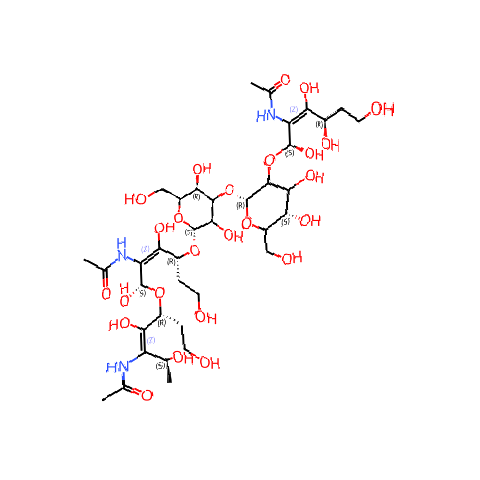 CC(=O)N/C(=C(\O)[C@@H](CCO)O[C@H](O)/C(NC(C)=O)=C(/O)[C@@H](CCO)O[C@@H]1OC(CO)[C@@H](O)C(O[C@H]2OC(CO)[C@@H](O)C(O)C2O[C@H](O)/C(NC(C)=O)=C(/O)[C@H](O)CCO)C1O)[C@H](C)O